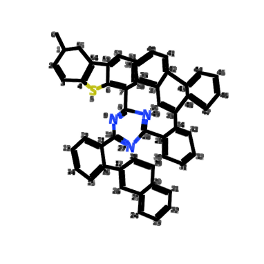 CC1C=Cc2sc3c(-c4nc(-c5ccccc5-c5ccc6ccccc6c5)nc(-c5ccccc5-c5cc6ccccc6c6ccccc56)n4)cccc3c2C1